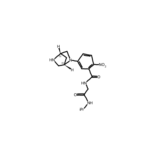 CC(C)NC(=O)CNC(=O)c1cc(N2C[C@@H]3C[C@H]2CN3)ccc1[N+](=O)[O-]